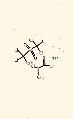 CN(C)C(=S)[S-].O=S(=O)(C(Cl)(Cl)Cl)C(Cl)(Cl)Cl.[Na+]